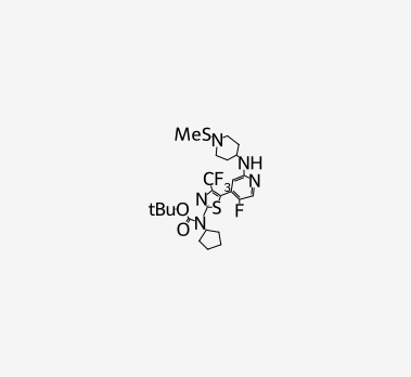 CSN1CCC(Nc2cc(-c3sc(N(C(=O)OC(C)(C)C)C4CCCC4)nc3C(F)(F)F)c(F)cn2)CC1